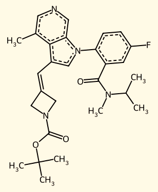 Cc1cncc2c1c(C=C1CN(C(=O)OC(C)(C)C)C1)cn2-c1ccc(F)cc1C(=O)N(C)C(C)C